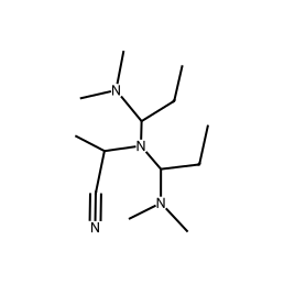 CCC(N(C)C)N(C(C)C#N)C(CC)N(C)C